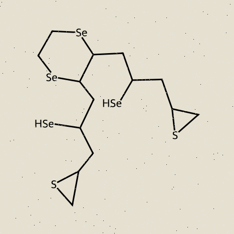 [SeH]C(CC1CS1)CC1[Se]CC[Se]C1CC([SeH])CC1CS1